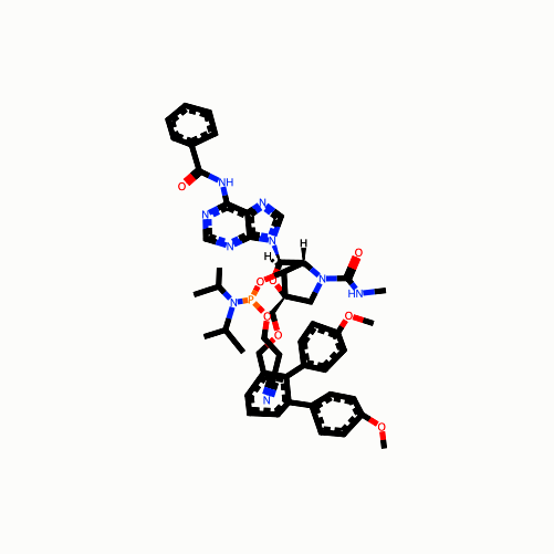 CNC(=O)N1C[C@]2(COCc3cccc(-c4ccc(OC)cc4)c3-c3ccc(OC)cc3)O[C@@H](n3cnc4c(NC(=O)c5ccccc5)ncnc43)[C@H]1[C@@H]2OP(OCCC#N)N(C(C)C)C(C)C